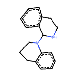 [C]1CCc2ccccc2N1C1NCCc2ccccc21